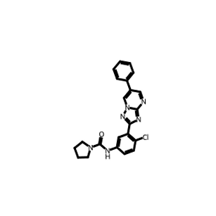 O=C(Nc1ccc(Cl)c(-c2nc3ncc(-c4ccccc4)cn3n2)c1)N1CCCC1